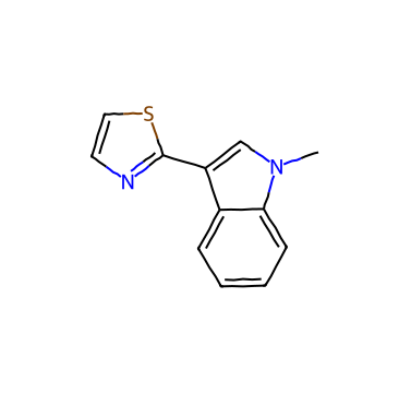 Cn1cc(-c2nccs2)c2ccccc21